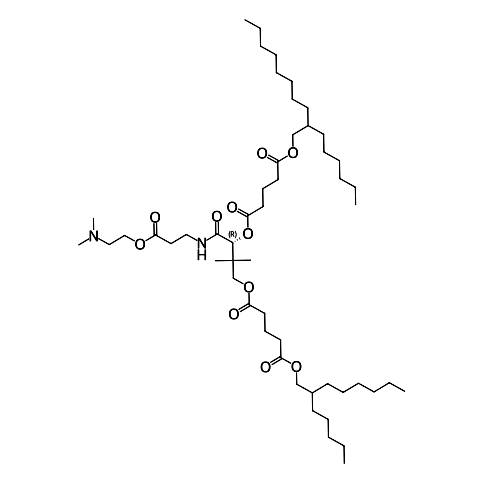 CCCCCCCCC(CCCCCC)COC(=O)CCCC(=O)O[C@@H](C(=O)NCCC(=O)OCCN(C)C)C(C)(C)COC(=O)CCCC(=O)OCC(CCCCC)CCCCCC